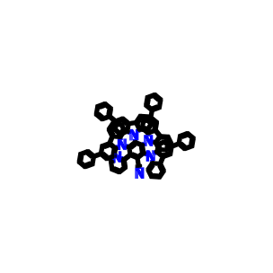 N#Cc1c(-c2ccccn2)c(-n2c3ccccc3c3cc(-c4ccccc4)ccc32)c(-n2c3ccccc3c3cc(-c4ccccc4)ccc32)c(-n2c3ccccc3c3cc(-c4ccccc4)ccc32)c1-n1c2ccccc2c2cc(-c3ccccc3)ccc21